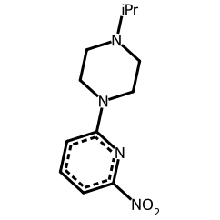 CC(C)N1CCN(c2cccc([N+](=O)[O-])n2)CC1